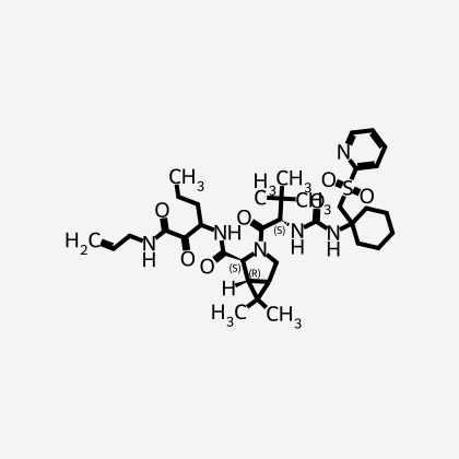 C=CCNC(=O)C(=O)C(CCC)NC(=O)[C@@H]1[C@@H]2C(CN1C(=O)[C@@H](NC(=O)NC1(CS(=O)(=O)c3ccccn3)CCCCC1)C(C)(C)C)C2(C)C